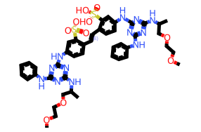 COCCOCC(C)Nc1nc(Nc2ccccc2)nc(Nc2ccc(/C=C/c3ccc(Nc4nc(Nc5ccccc5)nc(NC(C)COCCOC)n4)cc3S(=O)(=O)O)c(S(=O)(=O)O)c2)n1